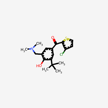 CN(C)Cc1cc(C(=O)c2sccc2Cl)cc(C(C)(C)C)c1O